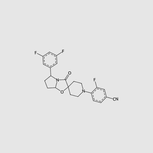 N#Cc1ccc(N2CCC3(CC2)OC2CCC(c4cc(F)cc(F)c4)N2C3=O)c(F)c1